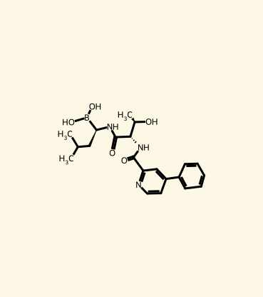 CC(C)C[C@H](NC(=O)[C@@H](NC(=O)c1cc(-c2ccccc2)ccn1)[C@@H](C)O)B(O)O